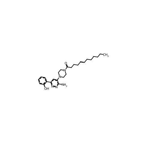 CCCCCCCCCCCC(=O)N1CCN(c2cc(-c3ccccc3O)nnc2N)CC1